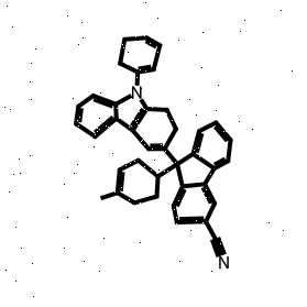 CC1=CCC(C2(C3=Cc4c(n(C5=CC=CCC5)c5ccccc45)CC3)c3ccccc3-c3cc(C#N)ccc32)CC1